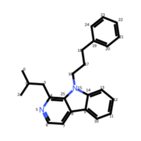 CC(C)Cc1nccc2c3ccccc3n(CCCc3ccccc3)c12